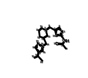 CC(=O)Nc1ncc(CN2CCCC(Cn3cc(C(C)C)cn3)C2)s1